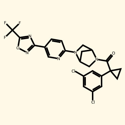 O=C(N1CC2CC1CN2c1ccc(-c2noc(C(F)(F)F)n2)cn1)C1(c2cc(Cl)cc(Cl)c2)CC1